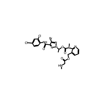 CNCC(=O)OCc1cccnc1N(C)C(=O)OC(C)n1nc(Br)c(C(=O)Nc2ccc(Cl)cc2Cl)n1